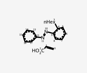 C=CC(=O)O.CCCCCCc1ccccc1N=Nc1ccccc1